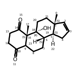 C[C@@]12C=CC[C@H]1[C@@H]1CCC3C(=O)CCC(=O)[C@]3(C)[C@@]1(O)CC2